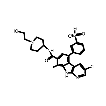 CCS(=O)(=O)c1cccc(-c2cc(C(=O)NC3CCN(CCO)CC3)c(C)c3[nH]c4ncc(Cl)cc4c23)c1